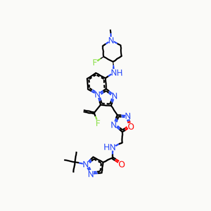 C=C(F)c1c(-c2noc(CNC(=O)c3cnn(C(C)(C)C)c3)n2)nc2c(N[C@@H]3CCN(C)C[C@@H]3F)cccn12